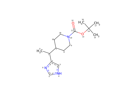 CC(c1c[nH]cn1)C1CCN(C(=O)OC(C)(C)C)CC1